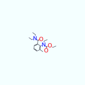 CCOC(=O)N(CC)c1c(C)cccc1C(=O)N(CC)CC